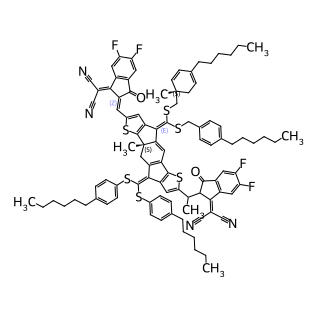 CCCCCCC1=CC[C@](C)(CS/C(SCc2ccc(CCCCCC)cc2)=C2/C3=CC4=C(C[C@]3(C)c3sc(/C=C5\C(=O)c6cc(F)c(F)cc6C5=C(C#N)C#N)cc32)C(=C(Sc2ccc(CCCCCC)cc2)Sc2ccc(CCCCCC)cc2)c2cc(C(C)C3C(=O)c5cc(F)c(F)cc5C3=C(C#N)C#N)sc24)C=C1